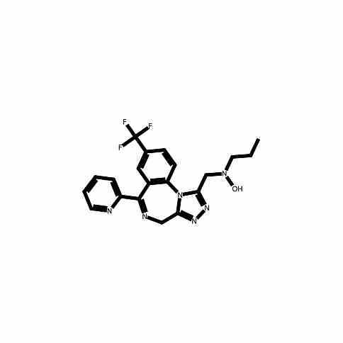 CCCN(O)Cc1nnc2n1-c1ccc(C(F)(F)F)cc1C(c1ccccn1)=NC2